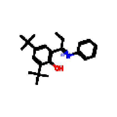 CC/C(=N\c1ccccc1)c1cc(C(C)(C)C)cc(C(C)(C)C)c1O